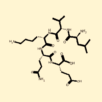 CC(C)C[C@H](N)C(=O)N[C@H](C(=O)N[C@@H](CCCCN)C(=O)N[C@@H](CCC(N)=O)C(=O)N[C@@H](CCC(=O)O)C(=O)O)C(C)C